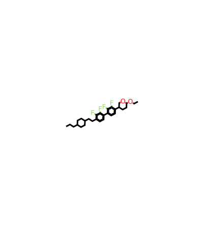 CCCC1CCC(CCc2ccc(-c3ccc(C4CCC(OCC)OC4)c(F)c3F)c(F)c2F)CC1